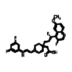 COc1ccc2ncc(F)c([C@@H](F)CCC3(CC(=O)O)CCN(CCNc4cc(F)cc(F)c4)CC3)c2c1